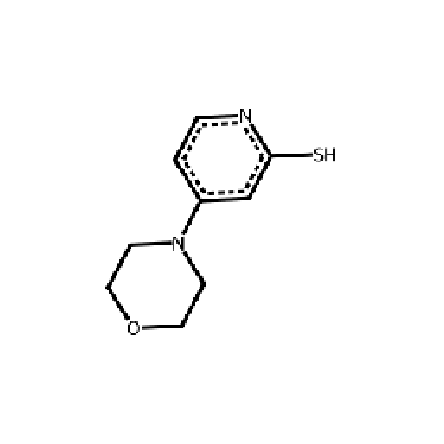 Sc1cc(N2CCOCC2)ccn1